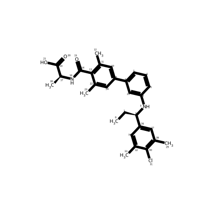 CC[C@@H](Nc1cccc(-c2cc(C)c(C(=O)N[C@@H](C)C(=O)O)c(C)c2)c1)c1cc(C)c(Cl)c(C)c1